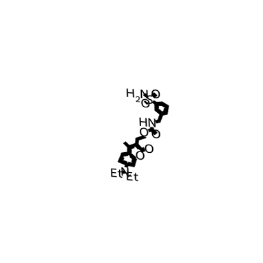 CCN(CC)c1ccc2c(C)c(CCOC(=O)NCc3cccc(S(N)(=O)=O)c3)c(=O)oc2c1